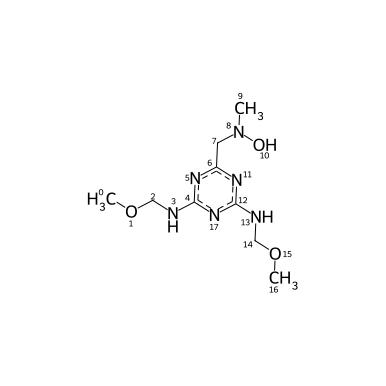 COCNc1nc(CN(C)O)nc(NCOC)n1